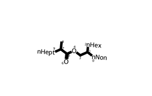 CCCCCCCCCC(CCCCCC)COC(=O)C(C)CCCCCCC